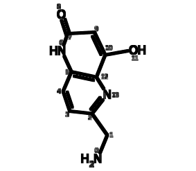 NCc1ccc2[nH]c(=O)cc(O)c2n1